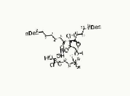 CCCCCCCCCCCCCCCC(=O)C(O)(C(=O)CCCCCCCCCCCCC)C(O)CO.C[N+](C)(C)CCOP(=O)(O)O